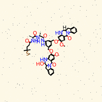 COc1cc2c(cc1OCc1cc(COc3cc4c(cc3OC)C(=O)N3c5ccccc5C[C@H]3CN4)cc(NC(=O)[C@H](C)NC(=O)[C@H](C)NC(=O)CCC(C)(C)SC)c1)N[C@H](O)C1Cc3ccccc3N1C2=O